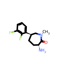 CN1C[C@H](c2cccc(F)c2F)CC[C@@H](N)C1=O